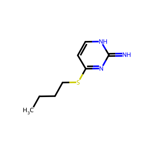 CCCCSc1cc[nH]c(=N)n1